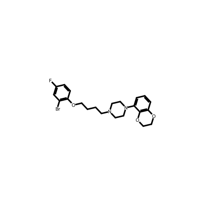 Fc1ccc(OCCCCN2CCN(c3cccc4c3OCCO4)CC2)c(Br)c1